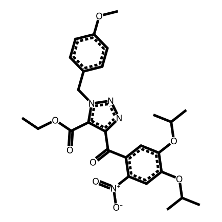 CCOC(=O)c1c(C(=O)c2cc(OC(C)C)c(OC(C)C)cc2[N+](=O)[O-])nnn1Cc1ccc(OC)cc1